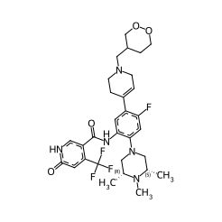 C[C@@H]1CN(c2cc(F)c(C3=CCN(CC4CCOOC4)CC3)cc2NC(=O)c2c[nH]c(=O)cc2C(F)(F)F)C[C@H](C)N1C